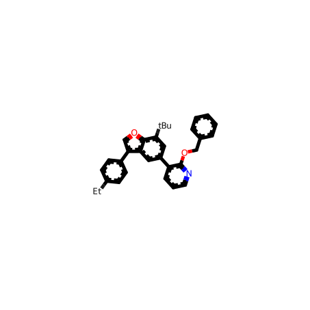 CCc1ccc(-c2coc3c(C(C)(C)C)cc(-c4cccnc4OCc4ccccc4)cc23)cc1